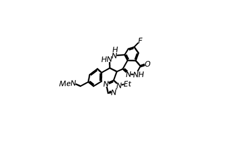 CCn1ncnc1C1c2n[nH]c(=O)c3cc(F)cc(c23)NNC1c1ccc(CNC)cc1